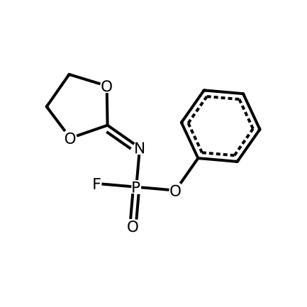 O=P(F)(N=C1OCCO1)Oc1ccccc1